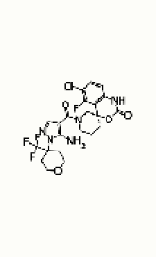 Nc1c(C(=O)N2CCC[C@@]3(C2)OC(=O)Nc2ccc(Cl)c(F)c23)cnn1C1(C(F)(F)F)CCOCC1